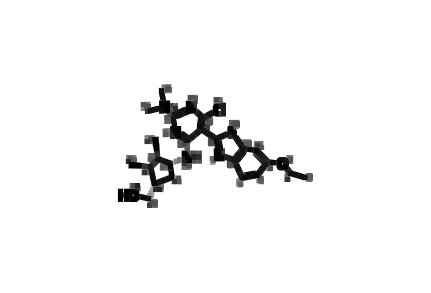 CCOc1ccc2nc(-c3c(Cl)nc(N(C)C)nc3N[C@@H]3C[C@H](CO)[C@@H](C)[C@H]3C)sc2c1